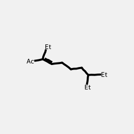 CC/C(=C\CCCC(CC)CC)C(C)=O